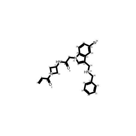 C=CC(=O)N1CC(NC(=O)Cn2cc(CNCc3ccccc3)c3cc(Br)ccc32)C1